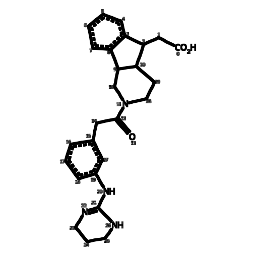 O=C(O)CC1c2ccccc2C2CN(C(=O)Cc3cccc(NC4=NCCCN4)c3)CCC12